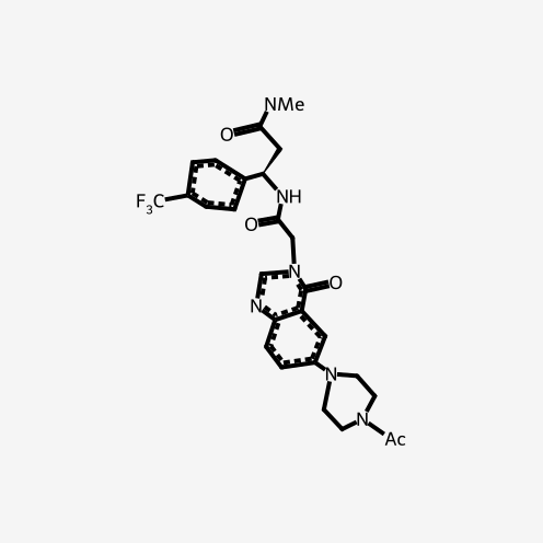 CNC(=O)C[C@@H](NC(=O)Cn1cnc2ccc(N3CCN(C(C)=O)CC3)cc2c1=O)c1ccc(C(F)(F)F)cc1